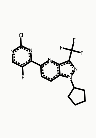 Fc1cnc(Cl)nc1-c1ccc2c(n1)c(C(F)(F)F)nn2C1CCCC1